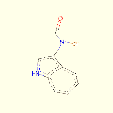 O=CN(S)c1c[nH]c2ccccc12